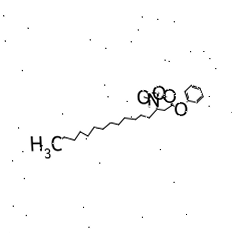 CCCCCCCCCCCCCC(CC(=O)Oc1ccccc1)[N+](=O)[O-]